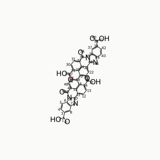 O=C(O)c1ccc2c(c1)nc1c3ccc(C(=O)O)c4c(-c5ccc6c7c5c(C(=O)O)ccc7c(=O)n5c7cc(C(=O)O)ccc7nc65)ccc(c(=O)n21)c43